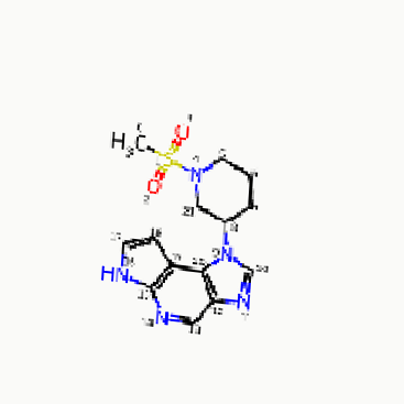 CS(=O)(=O)N1CCC[C@@H](n2cnc3cnc4[nH]ccc4c32)C1